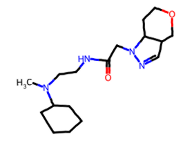 CN(CCNC(=O)CN1N=CC2COCCC21)C1CCCCC1